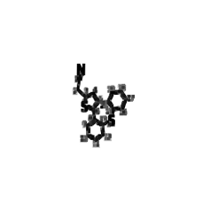 N#CCc1cc2c(s1)-c1ccccc1Sc1ccccc1-2